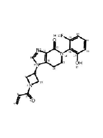 C=CC(=O)N1CC(n2cnc3c2CCN(c2c(O)cccc2F)C3=O)C1